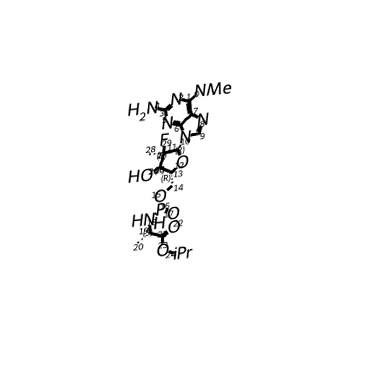 CNc1nc(N)nc2c1ncn2[C@@H]1O[C@H](CO[PH](=O)N[C@@H](C)C(=O)OC(C)C)[C@@H](O)[C@@]1(C)F